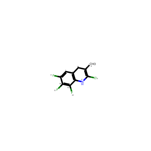 O=CC1=C(Cl)Nc2c(cc(F)c(F)c2F)C1